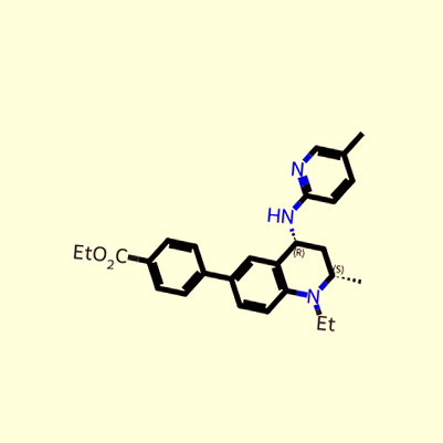 CCOC(=O)c1ccc(-c2ccc3c(c2)[C@H](Nc2ccc(C)cn2)C[C@H](C)N3CC)cc1